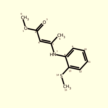 COC(=O)/C=C(\C)Nc1ccccc1SC